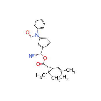 CC(C)=CC1C(C(=O)OC(C#N)c2cccc(N(C=O)c3ccccc3)c2)C1(C)C